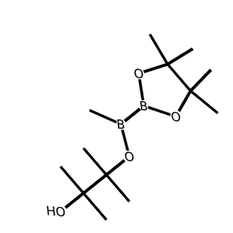 CB(OC(C)(C)C(C)(C)O)B1OC(C)(C)C(C)(C)O1